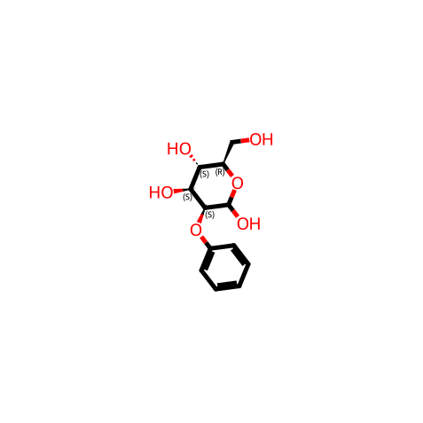 OC[C@H]1OC(O)[C@@H](Oc2ccccc2)[C@@H](O)[C@@H]1O